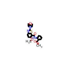 COC(=O)c1ccccc1NC(=O)c1c(OC)ccc2nc(N3C4COCC3C4)sc12